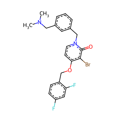 CN(C)Cc1cccc(Cn2ccc(OCc3ccc(F)cc3F)c(Br)c2=O)c1